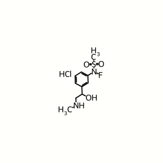 CNCC(O)c1cccc(N(F)S(C)(=O)=O)c1.Cl